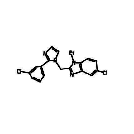 CCn1c(Cn2ccnc2-c2cccc(Cl)c2)nc2cc(Cl)ccc21